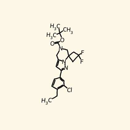 CCc1ccc(-c2cc3n(n2)C2(CN(C(=O)OC(C)(C)C)C3)CC(F)(F)C2)cc1Cl